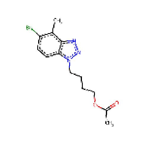 CC(=O)OCCCCn1nnc2c(C)c(Br)ccc21